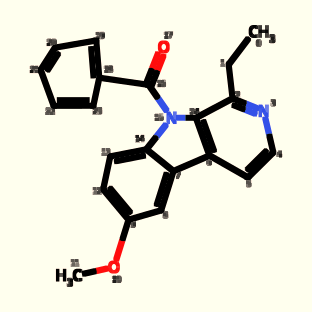 CCc1nccc2c3cc(OC)ccc3n(C(=O)c3ccccc3)c12